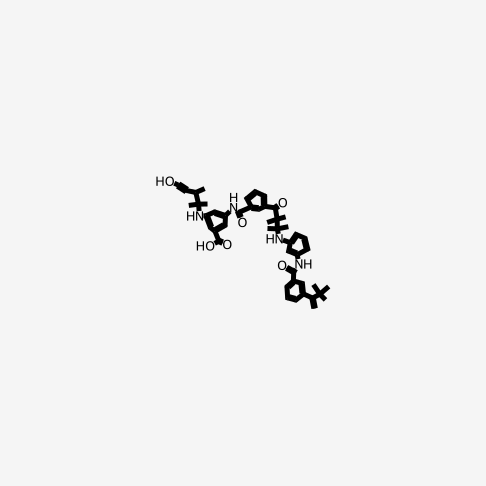 C=C(c1cccc(C(=O)Nc2cccc(NC(C)(C)C(C)(C)C(=O)c3cccc(C(=O)Nc4cc(NC(C)(C)C(C)C#CO)cc(C(=O)O)c4)c3)c2)c1)C(C)(C)C